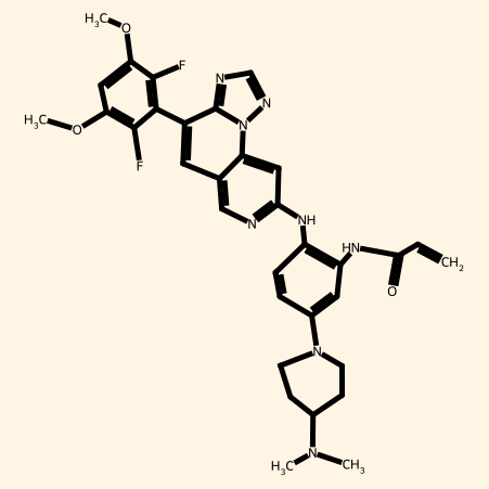 C=CC(=O)Nc1cc(N2CCC(N(C)C)CC2)ccc1Nc1cc2c(cn1)cc(-c1c(F)c(OC)cc(OC)c1F)c1ncnn12